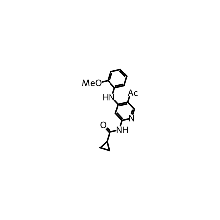 COc1ccccc1Nc1cc(NC(=O)C2CC2)ncc1C(C)=O